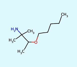 CCCCCOC(C)C(C)(C)N